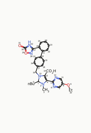 CCCCC1N(C)C(c2ncc(OCC)cn2)=C(C(=O)O)N1Cc1ccc(-c2ccccc2-c2noc(=O)[nH]2)cc1